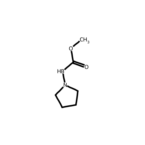 COC(=O)BN1CCCC1